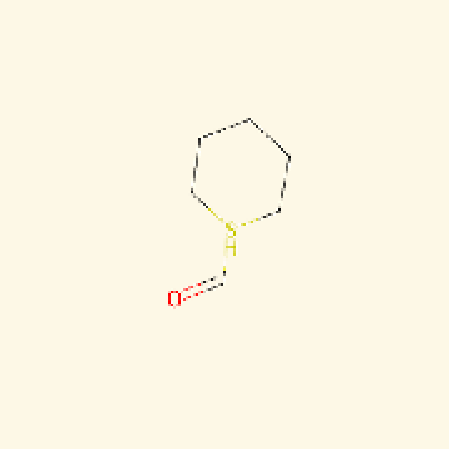 O=C[SH]1CCCCC1